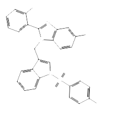 Cc1ccc(S(=O)(=O)n2cc(Cn3c(-c4ccccc4C)nc4cc(C)ccc43)c3ccccc32)cc1